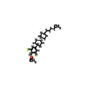 CCC/C=C/C1CCC([C@H]2CC[C@H](c3cc(F)c(COC)c(F)c3)CC2)CC1